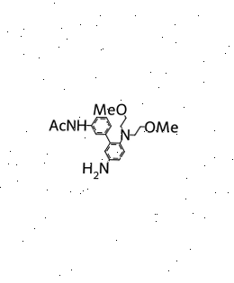 COCCN(CCOC)c1ccc(N)cc1-c1cccc(NC(C)=O)c1